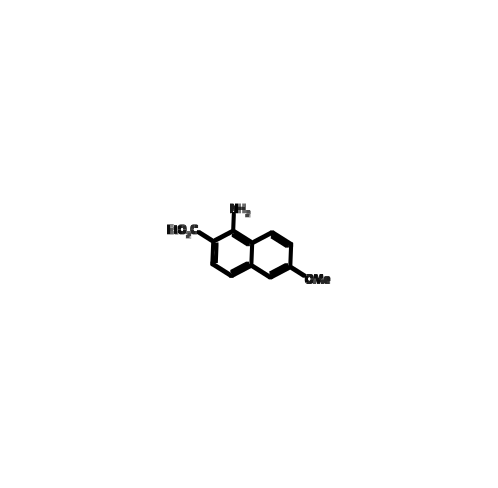 CCOC(=O)c1ccc2cc(OC)ccc2c1N